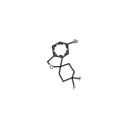 FC1(F)CCC2(CC1)OCc1ccc(Br)cc12